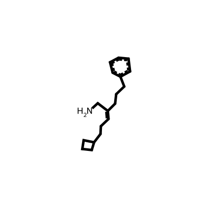 NC/C(=C\CCC1CCC1)CCCc1ccccc1